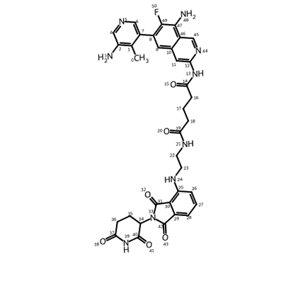 Cc1c(N)cncc1-c1cc2cc(NC(=O)CCCC(=O)NCCNc3cccc4c3C(=O)N(C3CCC(=O)NC3=O)C4=O)ncc2c(N)c1F